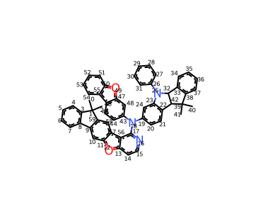 CC1(C)c2ccccc2-c2cc3oc4ccnc(N(c5ccc6c(c5)N(c5ccccc5)C5c7ccccc7C(C)(C)C65)c5ccc6c(c5)oc5ccccc56)c4c3cc21